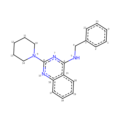 c1ccc(CNc2nc(N3CCCCC3)nc3ccccc23)cc1